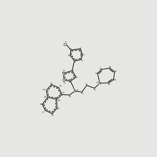 Clc1cccc(-c2cc(N(CCCN3C=CC=CC=C3)Cc3cccc4ccccc34)on2)c1